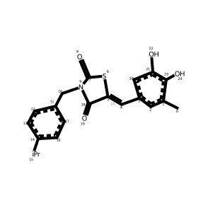 Cc1cc(/C=C2\SC(=O)N(Cc3ccc(C(C)C)cc3)C2=O)cc(O)c1O